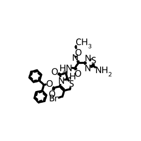 CCON=C(C(=O)N[C@@H]1C(=O)N2C(C(=O)OC(c3ccccc3)c3ccccc3)=C(CBr)CS[C@H]12)c1nsc(N)n1